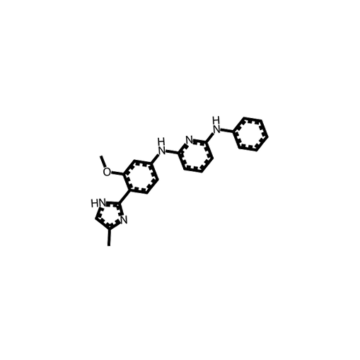 COc1cc(Nc2cccc(Nc3ccccc3)n2)ccc1-c1nc(C)c[nH]1